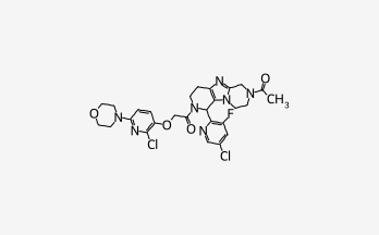 CC(=O)N1CCn2c(nc3c2C(c2ncc(Cl)cc2F)N(C(=O)COc2ccc(N4CCOCC4)nc2Cl)CC3)C1